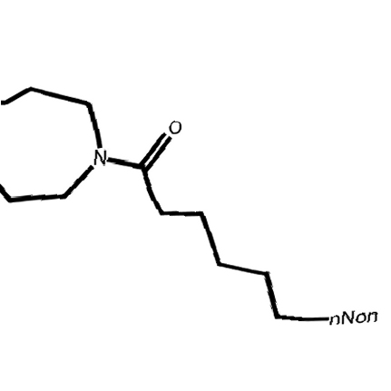 CCCCCCCCCCCCCCC(=O)N1CCCCCC1